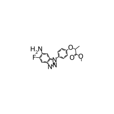 COC(=O)C(C)Oc1ccc(-n2nnc3cc(F)c(N)cc32)cc1